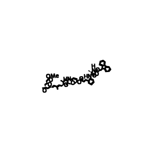 COC(=O)C[C@@H]1C[C@]2(CO2)C[C@@H](/C=C/C(C)=C/C[C@@H]2O[C@H](C)[C@H](NC(=O)/C=C\[C@H](C)OC(=O)CCc3ccccc3NC(=O)[C@H](C)NC(=O)OCC3c4ccccc4-c4ccccc43)C[C@@H]2C)O1